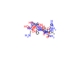 C[C@@H](O)[C@H](NC(=O)CNC(=O)[C@H](CCC(N)=O)NC(=O)C(C)(C)NC(=O)[C@@H](N)Cc1c[nH]cn1)C(=O)N[C@@H](Cc1ccccc1)C(=O)N[C@H](C(=O)N[C@@H](CO)C(=O)N[C@@H](CC(=O)O)C(=O)N[C@@H](CCCCN)C(=O)O)[C@@H](C)O